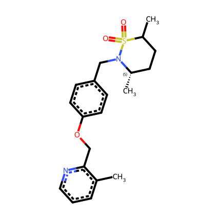 Cc1cccnc1COc1ccc(CN2[C@@H](C)CCC(C)S2(=O)=O)cc1